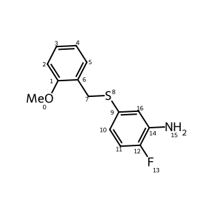 COc1ccccc1CSc1ccc(F)c(N)c1